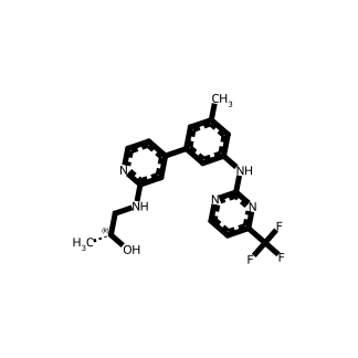 Cc1cc(Nc2nccc(C(F)(F)F)n2)cc(-c2ccnc(NC[C@@H](C)O)c2)c1